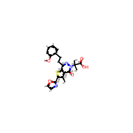 COc1ccccc1CCc1nn(C(C)(C)C(=O)O)c(=O)c2c(C)c(-c3ncco3)sc12